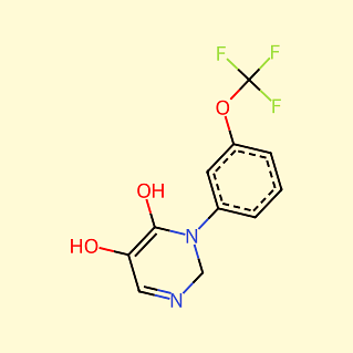 OC1=C(O)N(c2cccc(OC(F)(F)F)c2)CN=C1